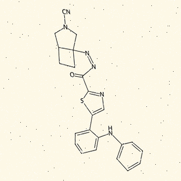 N#CN1CC2CCC2(/N=N\C(=O)c2ncc(-c3ccccc3Nc3ccccc3)s2)C1